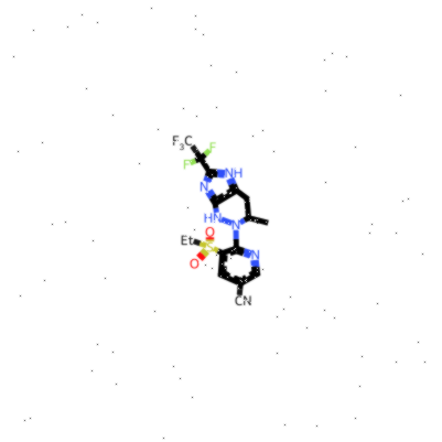 CCS(=O)(=O)c1cc(C#N)cnc1N1Nc2nc(C(F)(F)C(F)(F)F)[nH]c2CC1C